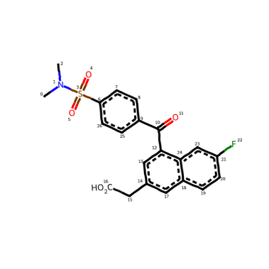 CN(C)S(=O)(=O)c1ccc(C(=O)c2cc(CC(=O)O)cc3ccc(F)cc23)cc1